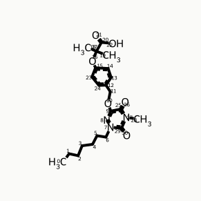 CCCCCCCn1nc(OCc2ccc(OC(C)(C)C(=O)O)cc2)c(=O)n(C)c1=O